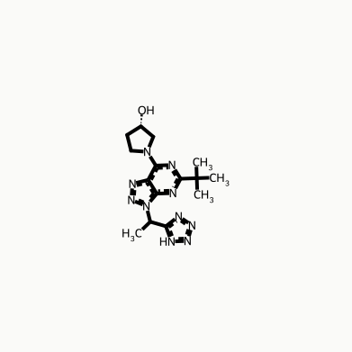 CC(c1nnn[nH]1)n1nnc2c(N3CC[C@H](O)C3)nc(C(C)(C)C)nc21